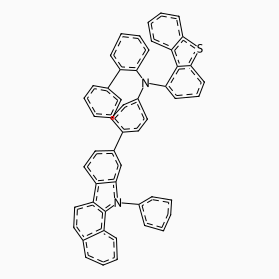 c1ccc(-c2ccccc2N(c2ccc(-c3ccc4c5ccc6ccccc6c5n(-c5ccccc5)c4c3)cc2)c2cccc3sc4ccccc4c23)cc1